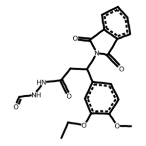 CCOc1cc(C(CC(=O)NNC=O)N2C(=O)c3ccccc3C2=O)ccc1OC